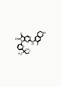 CCn1c(=O)c2cnc(Nc3cc4c(cc3F)CNCC4)nc2n1-c1cccc(C(C)(C)CF)n1